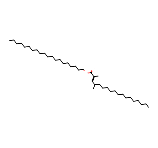 CCCCCCCCCCCCCCCCCCCCOC(=O)C(C)=CC(C)CCCCCCCCCCCCCC